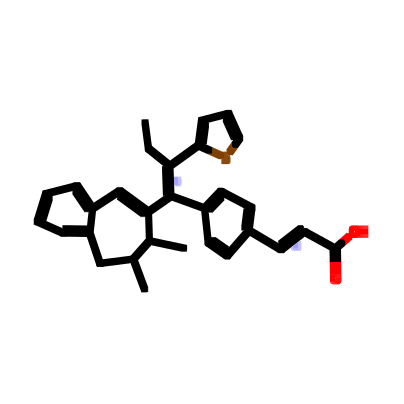 CC/C(=C(\C1=Cc2ccccc2CC(C)C1C)c1ccc(/C=C/C(=O)O)cc1)c1cccs1